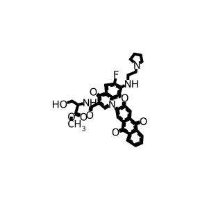 COC(=O)C(CO)NC(=O)c1cn2c3cc4c(=O)c5ccccc5c(=O)c4cc3oc3c(NCCN4CCCC4)c(F)cc(c1=O)c32